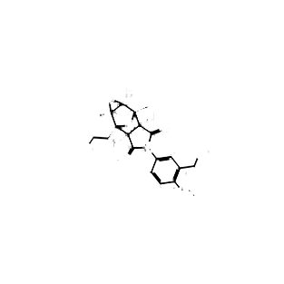 C[C@]12O[C@](CCO)([C@@H]3C(=O)N(c4ccc(C#N)c(CF)c4)C(=O)[C@@H]31)[C@H]1O[C@H]12